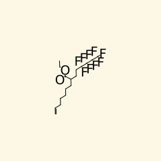 C=CCCCCCC(CCC(F)(F)C(F)(F)C(F)(F)C(F)(F)F)C(=O)OCC